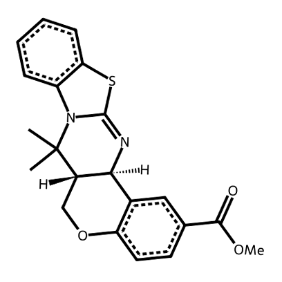 COC(=O)c1ccc2c(c1)[C@@H]1N=C3Sc4ccccc4N3C(C)(C)[C@H]1CO2